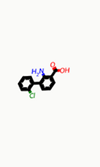 Nc1c(C(=O)O)cccc1-c1ccccc1Cl